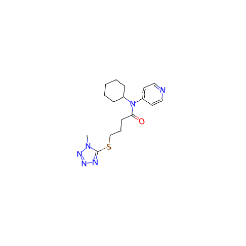 Cn1nnnc1SCCCC(=O)N(c1ccncc1)C1CCCCC1